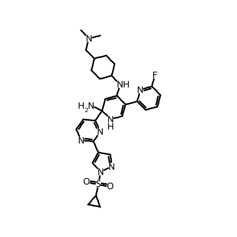 CN(C)CC1CCC(NC2=CC(N)(c3ccnc(-c4cnn(S(=O)(=O)C5CC5)c4)n3)NC=C2c2cccc(F)n2)CC1